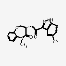 CN1C(=O)[C@@H](CC(=O)c2n[nH]c3ccc(C#N)cc23)COc2ccccc21